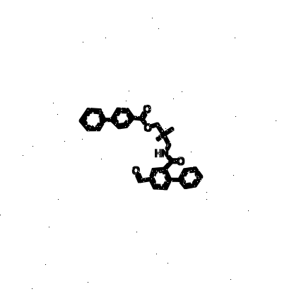 CC(C)(CNC(=O)c1cc(C=O)ccc1-c1ccccc1)COC(=O)c1ccc(-c2ccccc2)cc1